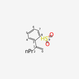 C=C(CCC)c1ccccc1[SH](=O)=O